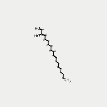 CCCCCCCCCCCCCCCC[CH]C(O)CO